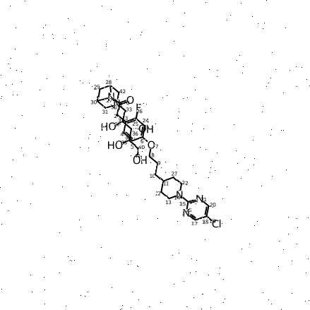 O=C(Cc1ccc(OCCCC2CCN(c3ncc(Cl)cn3)CC2)cc1F)N1C2CC1CN(C[C@H](O)[C@H](O)[C@H](O)CO)C2